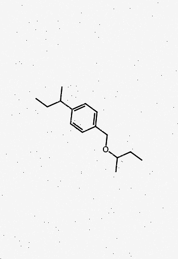 CCC(C)OCc1ccc(C(C)CC)cc1